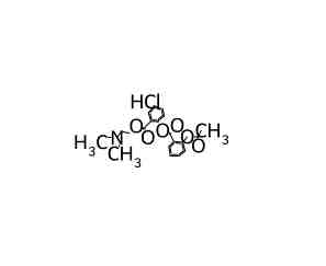 CCN(CC)CCOC(=O)c1ccccc1OC(=O)c1ccccc1OC(C)=O.Cl